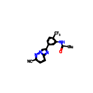 CC(C)(C)C(=O)Nc1cc(-c2cn3nc(C#N)ccc3n2)ccc1C(F)(F)F